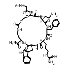 CC(=O)NCC(=O)NC1CCCC(=O)NCCC(C(N)=O)NC(=O)[C@H](Cc2c[nH]c3ccccc23)NC(=O)[C@H](CCCNC(=N)N)NC(=O)C(Cc2ccccc2)NC(=O)[C@H](CCN)NC1=O